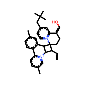 C=CC1C2C(c3cc(C)ccc3-c3ccc(C)c[n+]32)C12CC/C(=C/O)c1cc(CC(C)(C)C)cc[n+]12